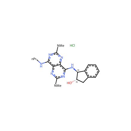 CCCNc1nc(NC)nc2c(N[C@H]3c4ccccc4C[C@@H]3O)nc(NC)nc12.Cl